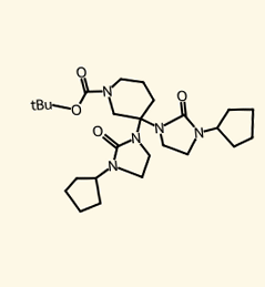 CC(C)(C)OC(=O)N1CCCC(N2CCN(C3CCCC3)C2=O)(N2CCN(C3CCCC3)C2=O)C1